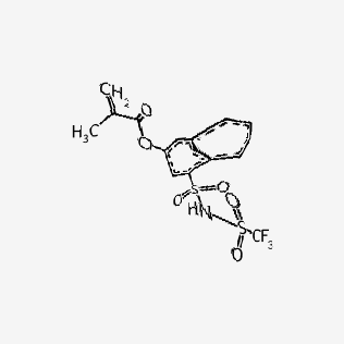 C=C(C)C(=O)Oc1cc(S(=O)(=O)NS(=O)(=O)C(F)(F)F)c2ccccc2c1